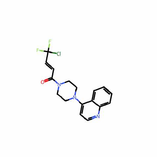 O=C(C=CC(F)(F)Cl)N1CCN(c2ccnc3ccccc23)CC1